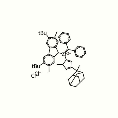 Cc1cc2c(cc1C(C)(C)C)-c1cc(C(C)(C)C)c(C)cc1[CH]2[Zr+2]([C]1=CC(C2(C)C3CC4CC(C3)CC2C4)=CC1C)=[C](c1ccccc1)c1ccccc1.[Cl-].[Cl-]